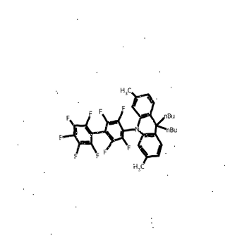 CCCCC1(CCCC)c2ccc(C)cc2N(c2c(F)c(F)c(-c3c(F)c(F)c(F)c(F)c3F)c(F)c2F)c2cc(C)ccc21